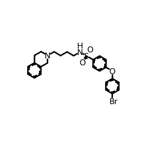 O=S(=O)(NCCCCN1CCc2ccccc2C1)c1ccc(Oc2ccc(Br)cc2)cc1